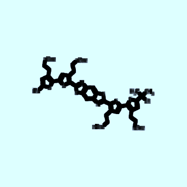 CCCCCCCCCCCCc1cc(C(C)CC)sc1-c1cc(CCCCCCCCCCCC)c(-c2nc3cc4sc(-c5sc(-c6sc(C(C)(C)CC)cc6CCCCCCCCCCCC)cc5CCCCCCCCCCCC)nc4cc3s2)s1